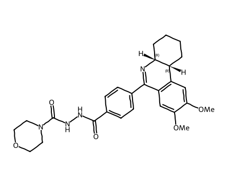 COc1cc2c(cc1OC)[C@H]1CCCC[C@H]1N=C2c1ccc(C(=O)NNC(=O)N2CCOCC2)cc1